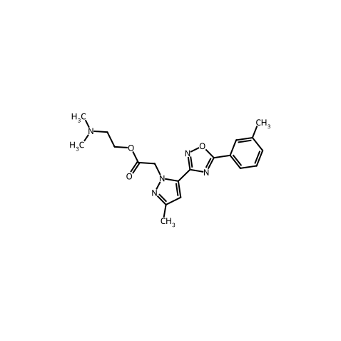 Cc1cccc(-c2nc(-c3cc(C)nn3CC(=O)OCCN(C)C)no2)c1